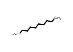 CCCCCCCCCCCC[CH2][GaH2]